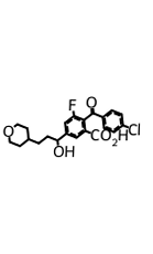 O=C(O)c1cc(C(O)CCC2CCOCC2)cc(F)c1C(=O)c1ccc(Cl)cc1